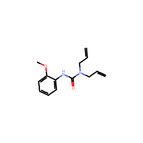 C=CCN(CC=C)C(=O)Nc1ccccc1OC